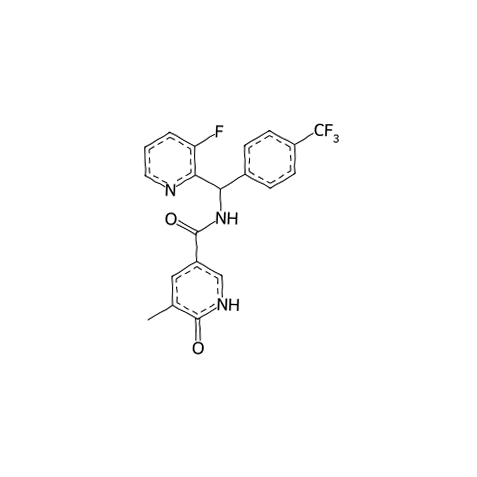 Cc1cc(C(=O)NC(c2ccc(C(F)(F)F)cc2)c2ncccc2F)c[nH]c1=O